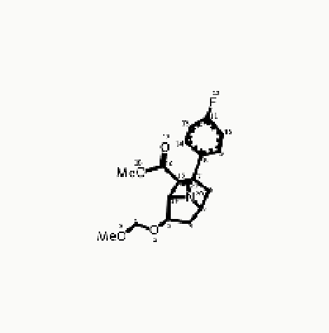 COCOC1CC2CC(c3ccc(F)cc3)=C(C(=O)OC)C1N2C